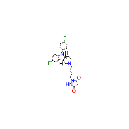 O=C1CC(=O)N(CCCCN2CC[C@@H]3[C@@H](C2)c2cc(F)ccc2N3c2ccc(F)cc2)N1